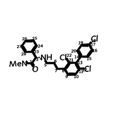 CNC(=O)[C@@H](NCCCc1ccc(Cl)c(-c2ccc(Cl)cc2)c1Cl)c1ccccc1